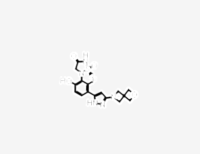 O=C1CN(c2c(O)ccc(-c3cc(N4CC5(COC5)C4)n[nH]3)c2F)S(=O)(=O)N1